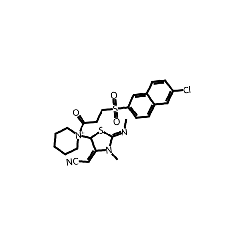 C/N=C1\SC([N+]2(C(=O)CCS(=O)(=O)c3ccc4cc(Cl)ccc4c3)CCCCC2)/C(=C\C#N)N1C